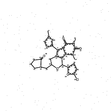 Cc1csc(-c2c3c(=O)n(C)c(=O)n(C)c3c3n2CC(CN2CCCC2=O)OC3c2ccc(Cl)o2)n1